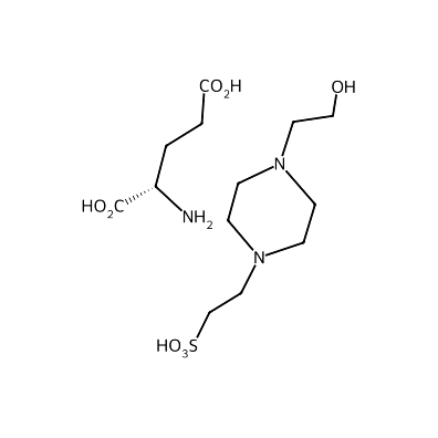 N[C@@H](CCC(=O)O)C(=O)O.O=S(=O)(O)CCN1CCN(CCO)CC1